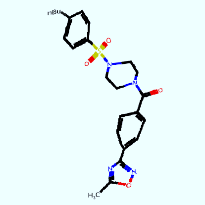 CCCCc1ccc(S(=O)(=O)N2CCN(C(=O)c3ccc(-c4noc(C)n4)cc3)CC2)cc1